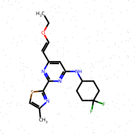 CCOC=Cc1cc(NC2CCC(F)(F)CC2)nc(-c2nc(C)cs2)n1